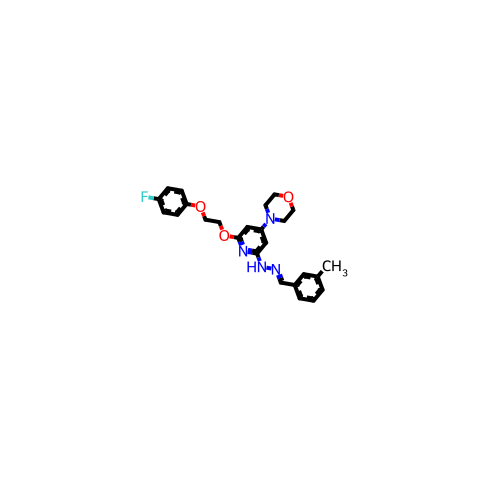 Cc1cccc(C=NNc2cc(N3CCOCC3)cc(OCCOc3ccc(F)cc3)n2)c1